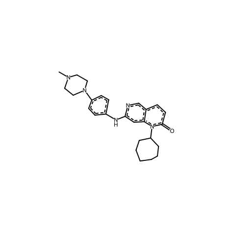 CN1CCN(c2ccc(Nc3cc4c(ccc(=O)n4C4CCCCCC4)cn3)cc2)CC1